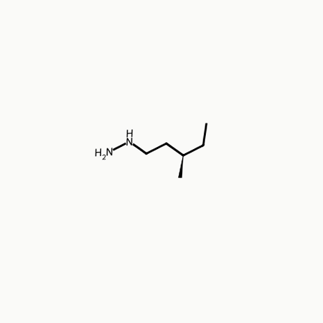 CC[C@@H](C)CCNN